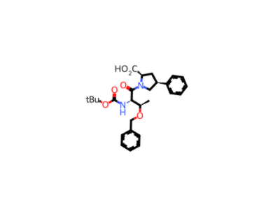 C[C@@H](OCc1ccccc1)[C@H](NC(=O)OC(C)(C)C)C(=O)N1C[C@H](c2ccccc2)C[C@@H]1C(=O)O